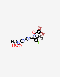 CN(C[C@@H](CCN1CC(N2CCC(N(C)C(=O)O)CC2)C1)c1ccc(F)cc1)C(=O)c1cc(Br)cc(Br)c1